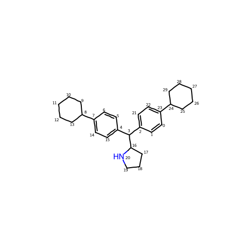 c1cc(C(c2ccc(C3CCCCC3)cc2)C2CCCN2)ccc1C1CCCCC1